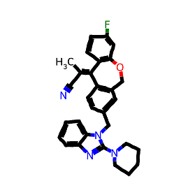 CC(C#N)=C1c2ccc(Cn3c(N4CCCCC4)nc4ccccc43)cc2COc2cc(F)ccc21